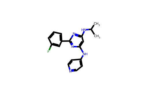 CC(C)Nc1cc(Nc2ccncc2)nc(-c2cccc(F)c2)n1